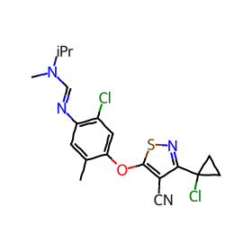 Cc1cc(N=CN(C)C(C)C)c(Cl)cc1Oc1snc(C2(Cl)CC2)c1C#N